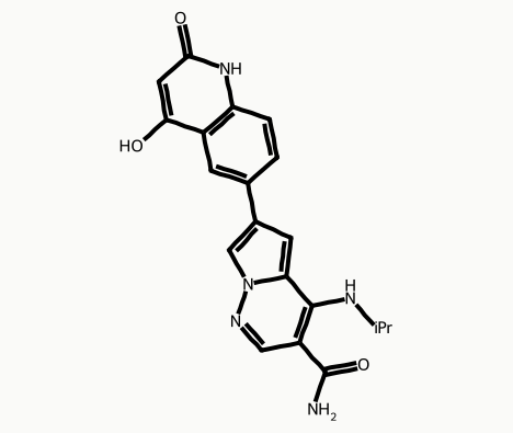 CC(C)Nc1c(C(N)=O)cnn2cc(-c3ccc4[nH]c(=O)cc(O)c4c3)cc12